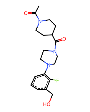 CC(=O)N1CCC(C(=O)N2CCN(c3cccc(CO)c3F)CC2)CC1